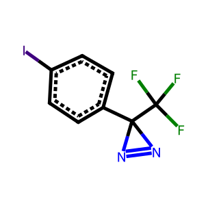 FC(F)(F)C1(c2ccc(I)cc2)N=N1